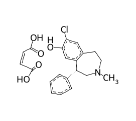 CN1CCc2cc(Cl)c(O)cc2[C@@H](c2ccccc2)C1.O=C(O)/C=C\C(=O)O